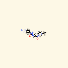 Nc1ccc(NC(=O)N2CC(C(=O)N3CCCN(C4CCC4)CC3)C2)cc1